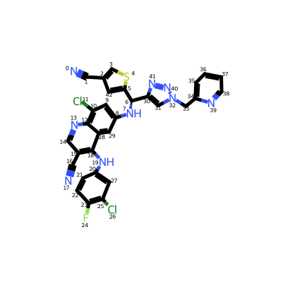 N#Cc1csc([C@H](Nc2cc(Cl)c3ncc(C#N)c(Nc4ccc(F)c(Cl)c4)c3c2)c2cn(Cc3ccccn3)nn2)c1